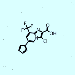 O=C(O)c1nc2c(C(F)(F)F)cc(C3=C=CC=C3)cn2c1Cl